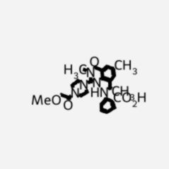 COCC(=O)N1CCN(c2nc3c(C(C)Nc4ccccc4C(=O)O)cc(C)cc3c(=O)n2C)CC1